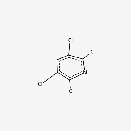 Clc1cc(Cl)[c]([K])nc1Cl